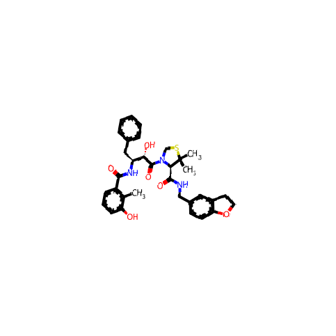 Cc1c(O)cccc1C(=O)N[C@@H](Cc1ccccc1)[C@H](O)C(=O)N1CSC(C)(C)[C@H]1C(=O)NCc1ccc2c(c1)CCO2